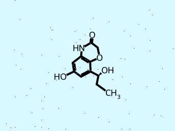 CC[C@H](O)c1cc(O)cc2c1OCC(=O)N2